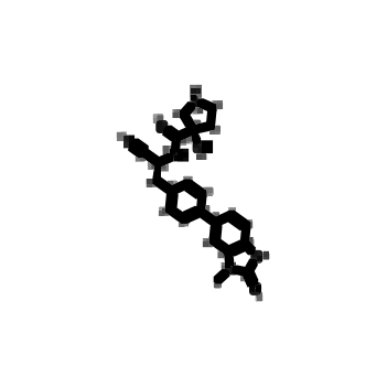 Cn1c(=O)oc2ccc(-c3ccc(C[C@@H](C#N)NC(=O)[C@@]4(O)CCNC4)cc3)cc21